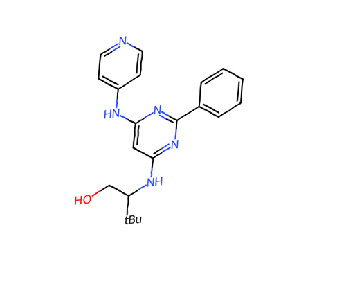 CC(C)(C)C(CO)Nc1cc(Nc2ccncc2)nc(-c2ccccc2)n1